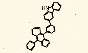 c1ccc(-c2c3ccccc3c(-c3cccc(-c4ccc5[nH]c6ccccc6c5c4)c3)c3ccccc23)cc1